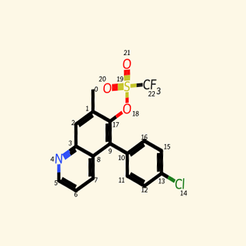 Cc1cc2ncccc2c(-c2ccc(Cl)cc2)c1OS(=O)(=O)C(F)(F)F